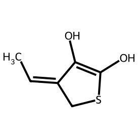 CC=C1CSC(O)=C1O